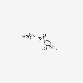 COc1cc(C(=O)SCCC[Si](C)(C)O)ccc1N